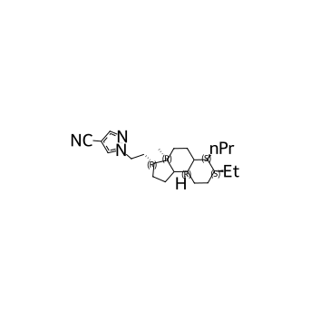 CCC[C@@H]1C2CC[C@@]3(C)C(CC[C@@H]3CCn3cc(C#N)cn3)[C@@H]2CC[C@@H]1CC